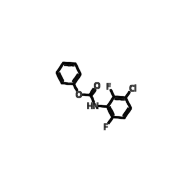 O=C(Nc1c(F)ccc(Cl)c1F)Oc1ccccc1